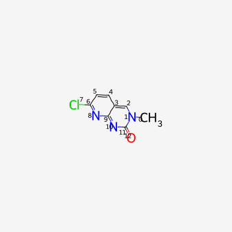 Cn1cc2ccc(Cl)nc2nc1=O